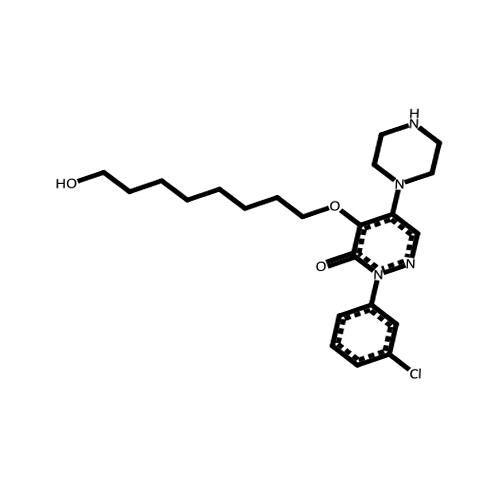 O=c1c(OCCCCCCCCO)c(N2CCNCC2)cnn1-c1cccc(Cl)c1